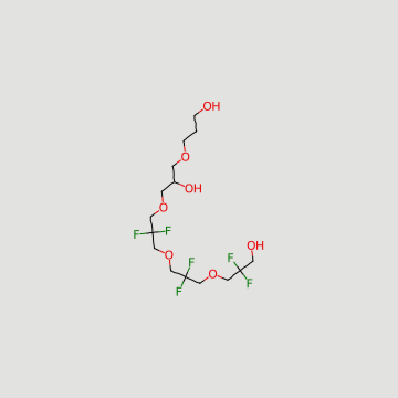 OCCCOCC(O)COCC(F)(F)COCC(F)(F)COCC(F)(F)CO